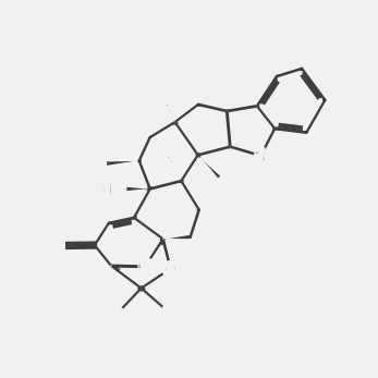 CC1(C)O[C@@]23CC[C@]4(C)[C@@]5(C)C6Nc7ccccc7C6C[C@@H]5C[C@H](O)[C@@]4(O)C2=CC(=O)C1O3